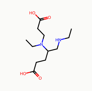 CCNCC(CCC(=O)O)N(CC)CCC(=O)O